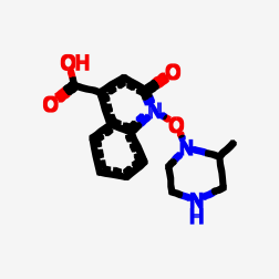 CC1CNCCN1On1c(=O)cc(C(=O)O)c2ccccc21